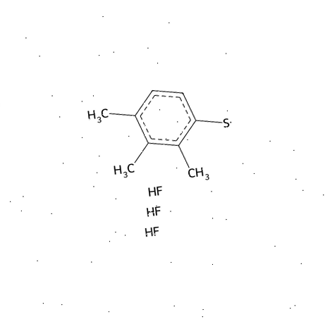 Cc1ccc([S])c(C)c1C.F.F.F